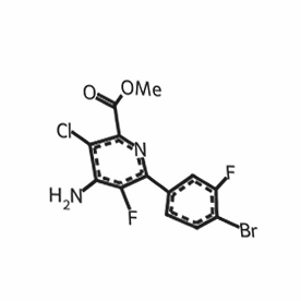 COC(=O)c1nc(-c2ccc(Br)c(F)c2)c(F)c(N)c1Cl